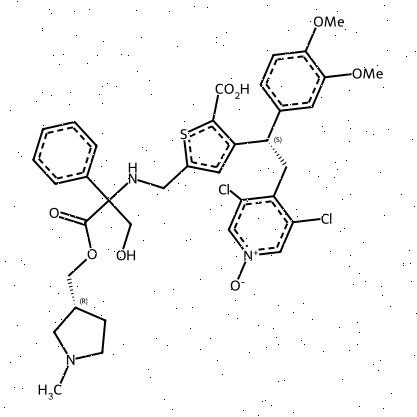 COc1ccc([C@H](Cc2c(Cl)c[n+]([O-])cc2Cl)c2cc(CNC(CO)(C(=O)OC[C@@H]3CCN(C)C3)c3ccccc3)sc2C(=O)O)cc1OC